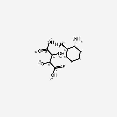 N[C@@H]1CCCC[C@H]1N.O=C(O)C(O)C(O)C(=O)O